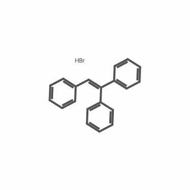 Br.C(=C(c1ccccc1)c1ccccc1)c1ccccc1